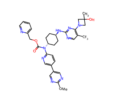 COc1ncc(-c2ccc(N(C(=O)OCc3ccccn3)[C@H]3CC[C@H](Nc4ncc(C(F)(F)F)c(N5CC(C)(O)C5)n4)CC3)nc2)cn1